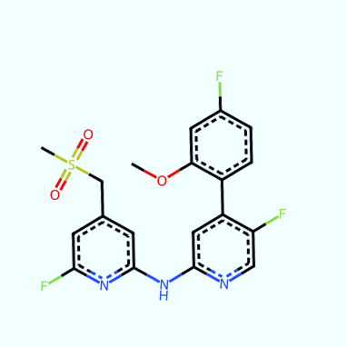 COc1cc(F)ccc1-c1cc(Nc2cc(CS(C)(=O)=O)cc(F)n2)ncc1F